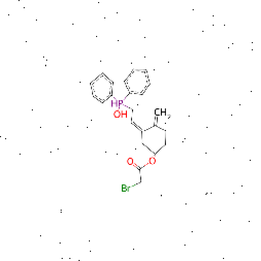 C=C1CC[C@H](OC(=O)CBr)C/C1=C/C[PH](O)(c1ccccc1)c1ccccc1